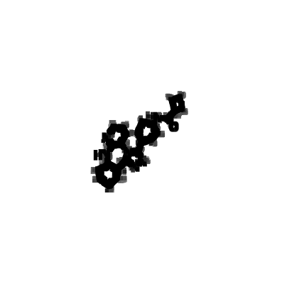 O=C(Nc1ccc(-c2nnc3n2-c2cccnc2Nc2ccccc2-3)cc1)C1CCC1